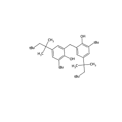 CC(C)(C)CC(C)(C)c1cc(Cc2cc(C(C)(C)CC(C)(C)C)cc(C(C)(C)C)c2O)c(O)c(C(C)(C)C)c1